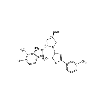 CO[C@@H]1C[C@@H](c2nc3ccc(Cl)c(C)c3[nH]2)N(N2[C]=C(c3cccc(C)c3)SC2C)C1